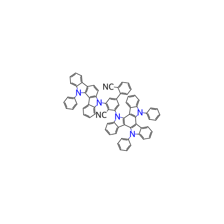 N#Cc1ccccc1-c1cc(-n2c3ccccc3c3c2ccc2c4ccccc4n(-c4ccccc4)c23)c(C#N)c(-n2c3ccccc3c3c4c(c5ccccc5n4-c4ccccc4)c4c(c5ccccc5n4-c4ccccc4)c32)c1